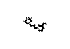 CCC1CCCN(CCCN2CCOCC2)C1